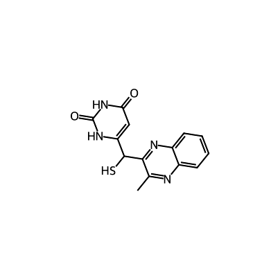 Cc1nc2ccccc2nc1C(S)c1cc(=O)[nH]c(=O)[nH]1